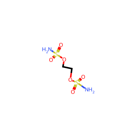 NS(=O)(=O)OCCOS(N)(=O)=O